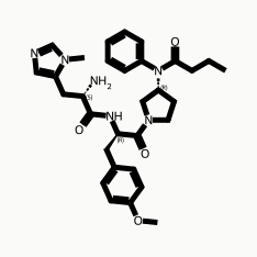 CCCC(=O)N(c1ccccc1)[C@@H]1CCN(C(=O)[C@@H](Cc2ccc(OC)cc2)NC(=O)[C@@H](N)Cc2cncn2C)C1